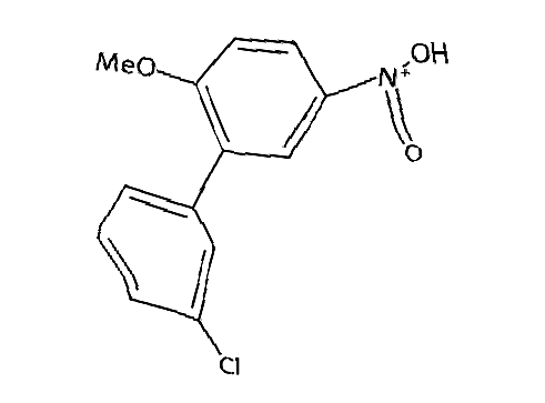 COc1ccc([N+](=O)O)cc1-c1cccc(Cl)c1